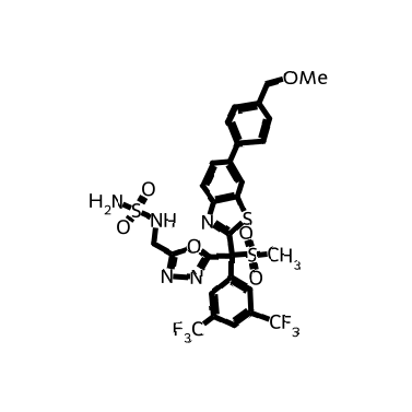 COCc1ccc(-c2ccc3nc(C(c4cc(C(F)(F)F)cc(C(F)(F)F)c4)(c4nnc(CNS(N)(=O)=O)o4)S(C)(=O)=O)sc3c2)cc1